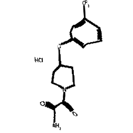 Cl.NC(=O)C(=O)N1CCC(Oc2cccc(C(F)(F)F)c2)CC1